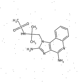 CC(C)(Cn1c(N)nc2c(N)nc3ccccc3c21)NS(C)(=O)=O